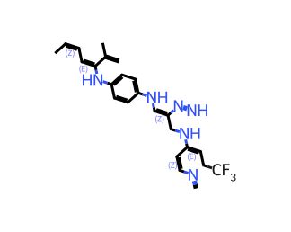 C=N/C=C\C(=C/CC(F)(F)F)NC/C(=C/Nc1ccc(N/C(=C/C=C\C)C(=C)C)cc1)N=N